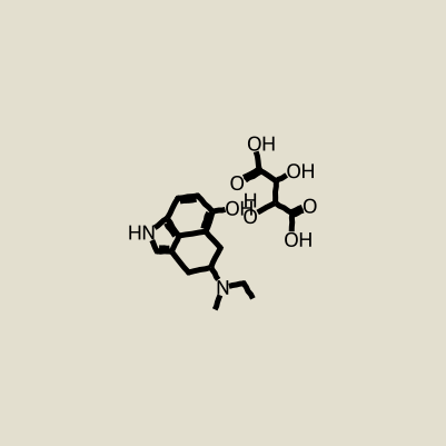 CCN(C)C1Cc2c[nH]c3ccc(O)c(c23)C1.O=C(O)C(O)C(O)C(=O)O